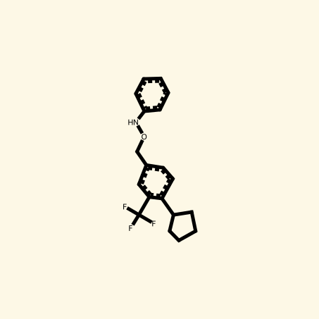 FC(F)(F)c1cc(CONc2ccccc2)ccc1C1CCCC1